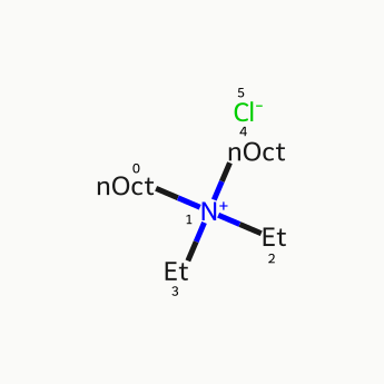 CCCCCCCC[N+](CC)(CC)CCCCCCCC.[Cl-]